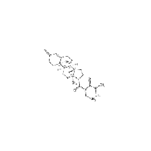 CCN(C(=O)C1CC[C@H]2[C@@H]3CCC4=CC(=O)CC[C@]4(C)[C@@H]3CC[C@]12C)C(=O)N(C)C